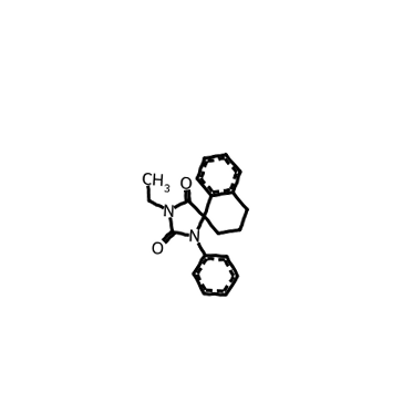 CCN1C(=O)N(c2ccccc2)C2(CCCc3ccccc32)C1=O